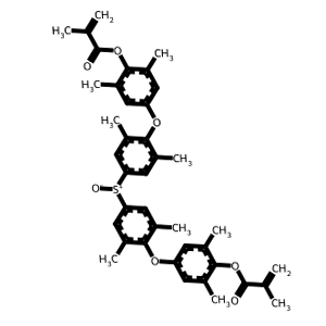 C=C(C)C(=O)Oc1c(C)cc(Oc2c(C)cc([S+]([O-])c3cc(C)c(Oc4cc(C)c(OC(=O)C(=C)C)c(C)c4)c(C)c3)cc2C)cc1C